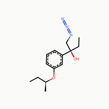 CC[C@H](C)Oc1cccc([C@@](O)(CC)CN=[N+]=[N-])c1